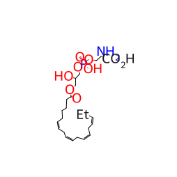 CC/C=C\C/C=C\C/C=C\C/C=C\CCCCC(=O)OC[C@@H](O)COP(=O)(O)OC[C@H](N)C(=O)O